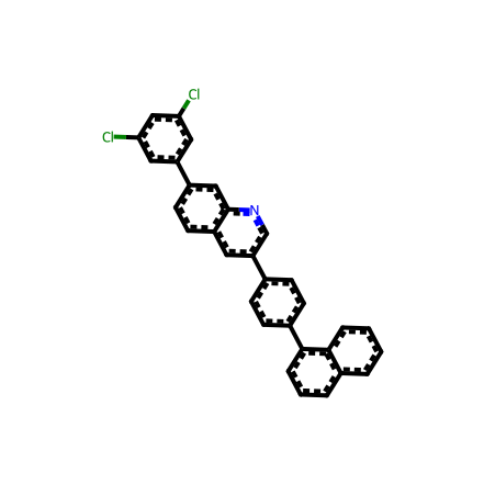 Clc1cc(Cl)cc(-c2ccc3cc(-c4ccc(-c5cccc6ccccc56)cc4)cnc3c2)c1